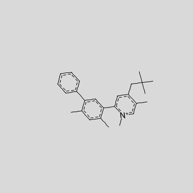 Cc1c[n+](C)c(-c2cc(-c3ccccc3)c(C)cc2C)cc1CC(C)(C)C